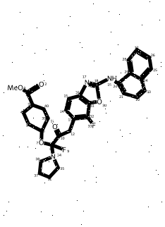 COC(=O)C1CCC(OC(F)(C(=O)Cc2ccc3nc(Nc4cccc5ccccc45)oc3c2F)N2CCCC2)CC1